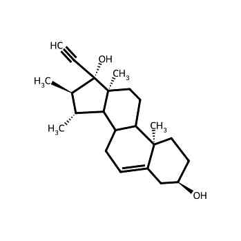 C#C[C@]1(O)[C@H](C)[C@@H](C)C2C3CC=C4C[C@H](O)CC[C@]4(C)C3CC[C@@]21C